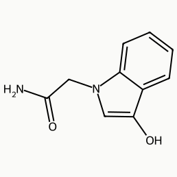 NC(=O)Cn1cc(O)c2ccccc21